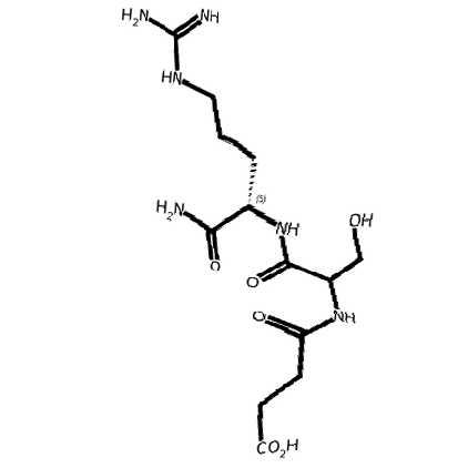 N=C(N)NCCC[C@H](NC(=O)C(CO)NC(=O)CCC(=O)O)C(N)=O